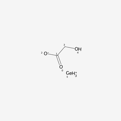 O=C([O-])CO.[GeH3+]